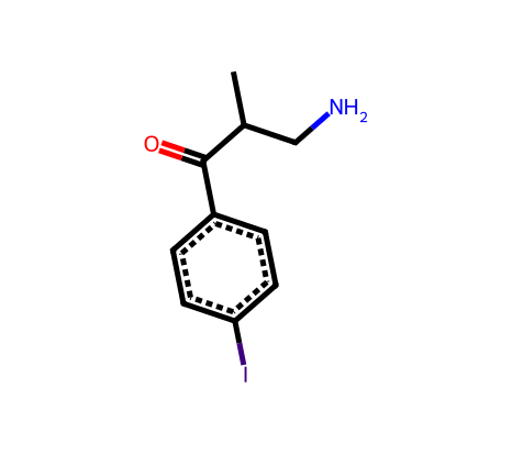 CC(CN)C(=O)c1ccc(I)cc1